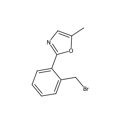 Cc1cnc(-c2ccccc2CBr)o1